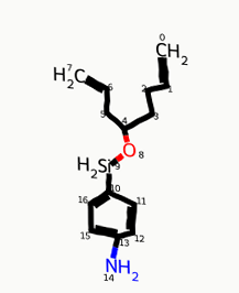 C=CCCC(CC=C)O[SiH2]c1ccc(N)cc1